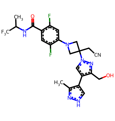 Cc1n[nH]cc1-c1cn(C2(CC#N)CN(c3cc(F)c(C(=O)NC(C)C(F)(F)F)cc3F)C2)nc1CO